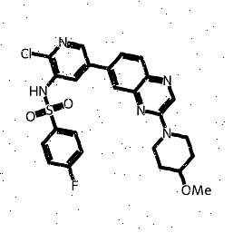 COC1CCN(c2cnc3ccc(-c4cnc(Cl)c(NS(=O)(=O)c5ccc(F)cc5)c4)cc3n2)CC1